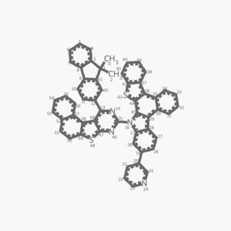 CC1(C)c2ccccc2-c2ccc(-c3nc(-n4c5cc(-c6cccnc6)ccc5c5c6ccccc6c6c7ccccc7sc6c54)nc4sc5ccc6ccccc6c5c34)cc21